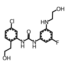 O=C(Nc1cc(F)cc(NCCO)c1)Nc1cc(Cl)ccc1CCO